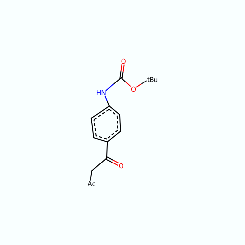 CC(=O)CC(=O)c1ccc(NC(=O)OC(C)(C)C)cc1